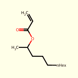 C=CC(=O)OC(C)CCCCCCCCC